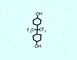 OC1CCC(C(C2CCC(O)CC2)(C(F)(F)F)C(F)(F)F)CC1